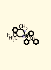 C=C1/C=C\C(N(C)c2ccccc2N(c2ccccc2)c2ccccc2)=C/CC(C)(C)c2ccccc21